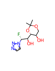 CC1(C)OC[C@@H](O)[C@H]([C@@H](O)[C@@H](F)n2ccnn2)O1